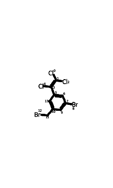 ClC(Cl)=C(Cl)c1cc(Br)cc(CBr)c1